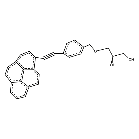 OC[C@@H](O)COCc1ccc(C#Cc2ccc3ccc4cccc5ccc2c3c45)cc1